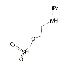 CC(C)NCCOC[SH](=O)=O